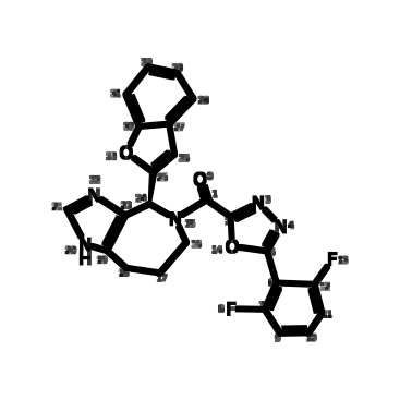 O=C(c1nnc(-c2c(F)cccc2F)o1)N1CCCc2[nH]cnc2[C@H]1c1cc2ccccc2o1